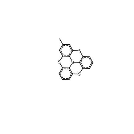 Cc1cc2c3c(c1)Sc1cccc4c1B3c1c(cccc1S2)S4